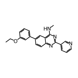 CCOc1cccc(-c2ccc3nc(-c4cccnc4)nc(NC)c3c2)c1